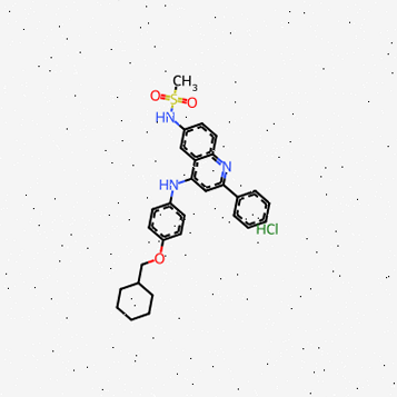 CS(=O)(=O)Nc1ccc2nc(-c3ccccc3)cc(Nc3ccc(OCC4CCCCC4)cc3)c2c1.Cl